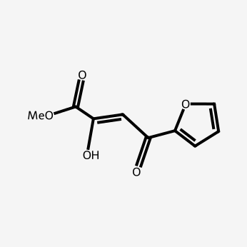 COC(=O)C(O)=CC(=O)c1ccco1